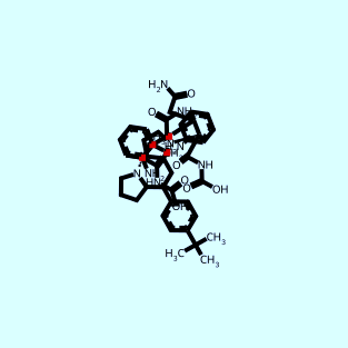 CC(C)(C)c1ccc(C(CC2CCCN2[C@]2(C(=O)NC(=O)O)c3ccc(cc3N)C2(C)CC(N)=O)C2CCCN2[C@]2(C(=O)NC(=O)O)c3ccc(cc3N)C2(C)CC(N)=O)cc1